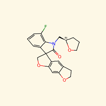 O=C1N(C[C@H]2CCCO2)c2c(F)cccc2C12COc1cc3c(cc12)CCO3